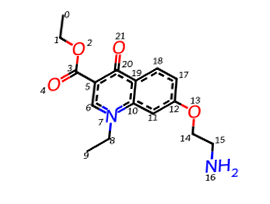 CCOC(=O)c1cn(CC)c2cc(OCCN)ccc2c1=O